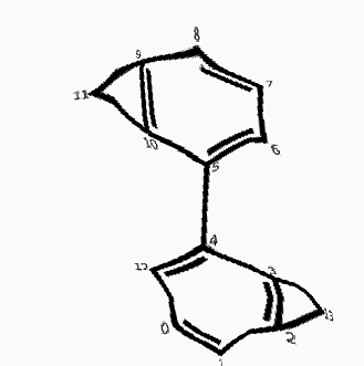 c1cc2c(c(-c3cccc4c3C4)c1)C2